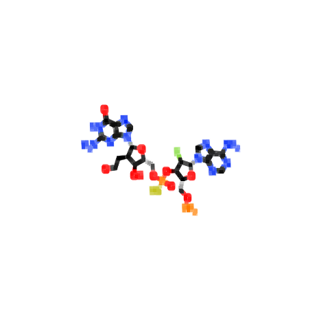 Nc1nc2c(ncn2[C@@H]2O[C@H](CO[P@@](=O)(S)O[C@H]3[C@@H](F)[C@H](n4cnc5c(N)ncnc54)O[C@@H]3COP)[C@@H](O)[C@H]2CC=O)c(=O)[nH]1